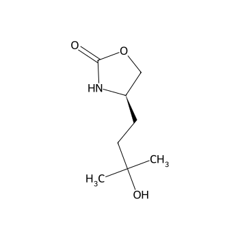 CC(C)(O)CC[C@@H]1COC(=O)N1